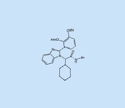 COc1cccc(-c2nc3ccccc3n2C(C(=O)NC(C)C)C2CCCCC2)c1OC